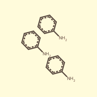 Nc1ccccc1.Nc1ccccc1.Nc1ccccc1